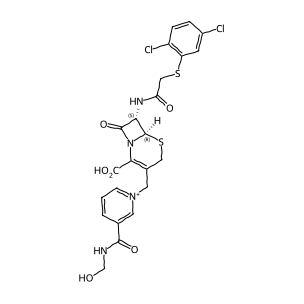 O=C(CSc1cc(Cl)ccc1Cl)N[C@H]1C(=O)N2C(C(=O)O)=C(C[n+]3cccc(C(=O)NCO)c3)CS[C@H]12